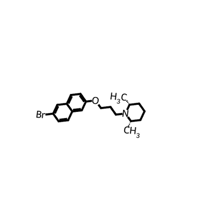 C[C@@H]1CCC[C@H](C)N1CCCOc1ccc2cc(Br)ccc2c1